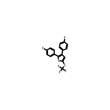 Fc1ccc(-c2cc(SC(F)(F)F)sc2-c2ccc(F)cc2)cc1